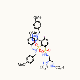 COc1ccc(CN(Cc2ccc(OC)cc2)S(=O)(=O)c2c(S(=O)(=O)NCC(CNC(=O)O)NC(=O)O)ccc(I)c2-c2nnnn2Cc2ccc(OC)cc2)cc1